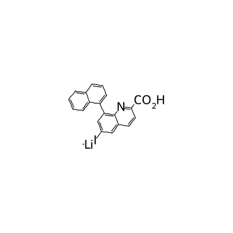 O=C(O)c1ccc2cc(I)cc(-c3cccc4ccccc34)c2n1.[Li]